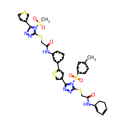 Cc1ccc(S(=O)(=O)n2c(SCC(=O)NC3=CC=CCC3)nnc2-c2csc(-c3cccc(NC(=O)CSc4nnc(-c5ccsc5)n4S(C)(=O)=O)c3)c2)cc1